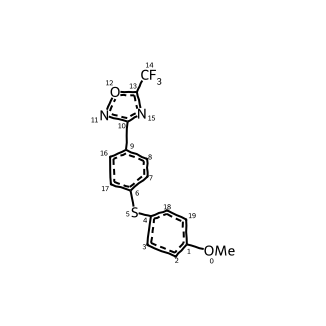 COc1ccc(Sc2ccc(-c3noc(C(F)(F)F)n3)cc2)cc1